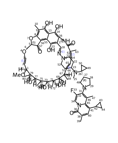 CO[C@H]1/C=C/O[C@@]2(C)Oc3c(C)c(O)c4c(O)c(c(/C=N/N5CCC(N(C)C6([C@@H]7CCN(c8c(F)cn9c(=O)c(C)cc(C%10CC%10)c9c8C)C7)CC6)CC5)c(O)c4c3C2=O)NC(=O)/C(C)=C\C=C\[C@H](C)[C@H](O)[C@@H](C)[C@@H](O)[C@@H](C)[C@H](O)[C@@H]1C